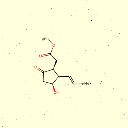 CCCCCC/C=C/[C@@H]1[C@H](CC(=O)OCCCC)C(=O)C[C@@H]1O